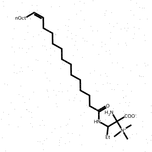 CCCCCCCC/C=C\CCCCCCCCCCCC(=O)NC(CC)C(N)(C(=O)[O-])[N+](C)(C)C